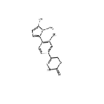 Cn1c(C#N)ccc1-c1ccc(C2=NNC(=O)OC2)cc1C(F)(F)F